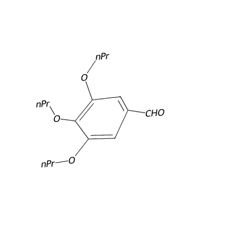 CCCOc1cc(C=O)cc(OCCC)c1OCCC